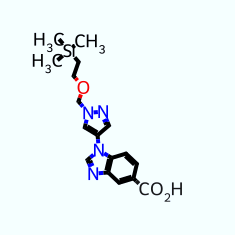 C[Si](C)(C)CCOCn1cc(-n2cnc3cc(C(=O)O)ccc32)cn1